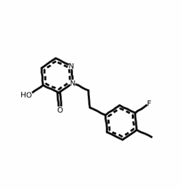 Cc1ccc(CCn2nccc(O)c2=O)cc1F